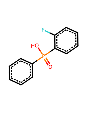 O=P(O)(c1ccccc1)c1ccccc1F